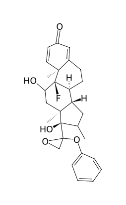 CC1C[C@H]2[C@@H]3CCC4=CC(=O)C=C[C@]4(C)[C@@]3(F)C(O)C[C@]2(C)[C@@]1(O)C1(Oc2ccccc2)CO1